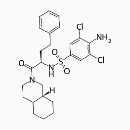 Nc1c(Cl)cc(S(=O)(=O)N[C@H](CCc2ccccc2)C(=O)N2CCC3CCCC[C@H]3C2)cc1Cl